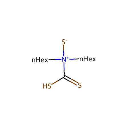 CCCCCC[N+]([S-])(CCCCCC)C(=S)S